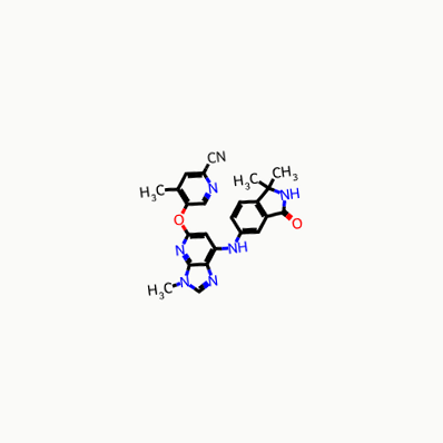 Cc1cc(C#N)ncc1Oc1cc(Nc2ccc3c(c2)C(=O)NC3(C)C)c2ncn(C)c2n1